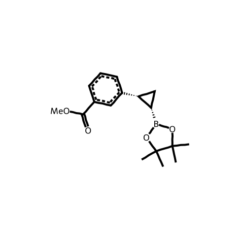 COC(=O)c1cccc([C@@H]2C[C@@H]2B2OC(C)(C)C(C)(C)O2)c1